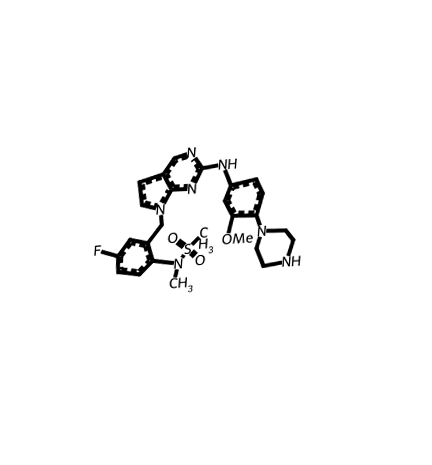 COc1cc(Nc2ncc3ccn(Cc4cc(F)ccc4N(C)S(C)(=O)=O)c3n2)ccc1N1CCNCC1